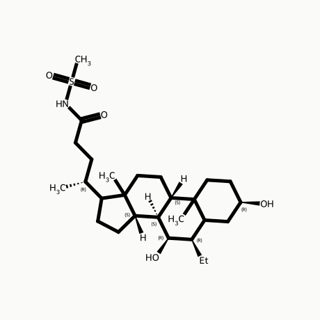 CC[C@@H]1C2C[C@H](O)CCC2(C)[C@H]2CCC3(C)C([C@H](C)CCC(=O)NS(C)(=O)=O)CC[C@H]3[C@@H]2[C@@H]1O